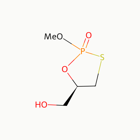 COP1(=O)O[C@H](CO)CS1